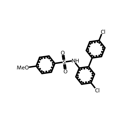 COc1ccc(S(=O)(=O)Nc2ccc(Cl)cc2-c2ccc(Cl)cc2)cc1